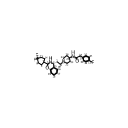 C[C@@H](C[C@@H](NC(=O)C1CCC(F)(F)CC1)c1ccccc1)N1CCC(NC(=O)Cc2ccc(F)cc2)CC1